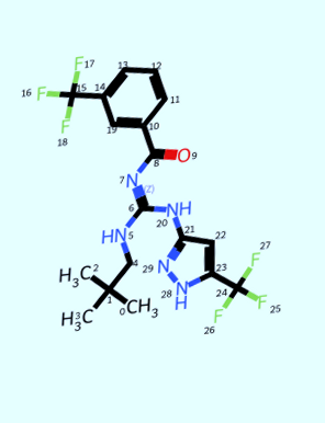 CC(C)(C)CN/C(=N/C(=O)c1cccc(C(F)(F)F)c1)Nc1cc(C(F)(F)F)[nH]n1